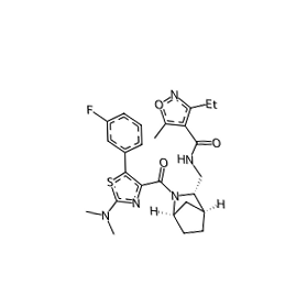 CCc1noc(C)c1C(=O)NC[C@@H]1[C@H]2CC[C@H](C2)N1C(=O)c1nc(N(C)C)sc1-c1cccc(F)c1